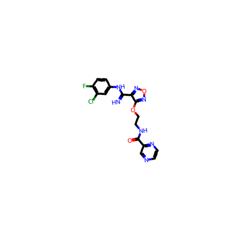 N=C(Nc1ccc(F)c(Cl)c1)c1nonc1OCCNC(=O)c1cnccn1